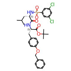 CC(C)C[C@H](NS(=O)(=O)c1cc(Cl)cc(Cl)c1)C(=O)N[C@@H](Cc1ccc(OCc2ccccc2)cc1)C(=O)OC(C)(C)C